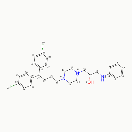 O[C@@H](CNc1ccccc1)CN1CCN(CCCC(c2ccc(F)cc2)c2ccc(F)cc2)CC1